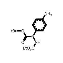 CCOC(=O)NN(C(=O)OC(C)(C)C)c1ccc(N)cc1